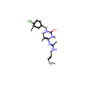 CN/C=C/CN/C(C)=N/C1=C(C)CN(Cc2ccc(Cl)c(C)c2)C(=O)N1C